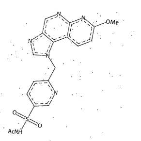 COc1ccc2c(ncc3ncn(Cc4ccc(S(=O)(=O)NC(C)=O)cn4)c32)n1